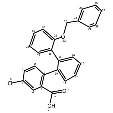 O=C(O)c1cc(Cl)ccc1-c1ccccc1-c1ccccc1OCc1ccccc1